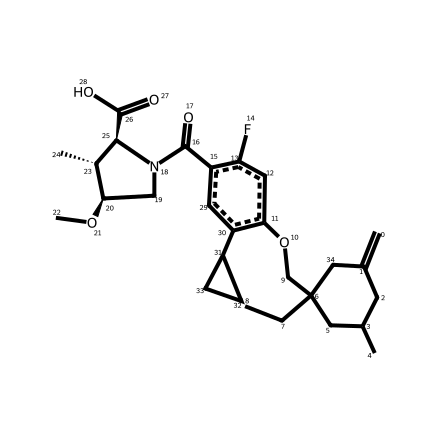 C=C1CC(C)CC(CC)(COc2cc(F)c(C(=O)N3C[C@@H](OC)[C@H](C)[C@H]3C(=O)O)cc2C2CC2)C1